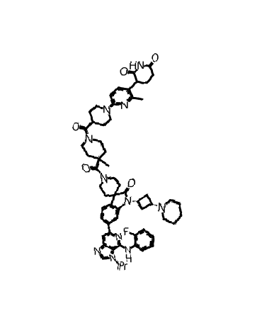 Cc1nc(N2CCC(C(=O)N3CCC(C)(C(=O)N4CCC5(CC4)C(=O)N([C@H]4C[C@@H](N6CCCCC6)C4)c4cc(-c6cc7ncn(C(C)C)c7c(Nc7ccccc7F)n6)ccc45)CC3)CC2)ccc1C1CCC(=O)NC1=O